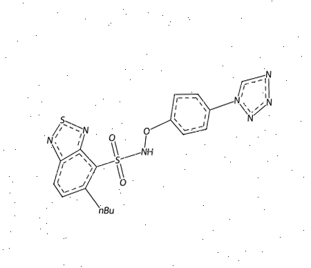 CCCCc1ccc2nsnc2c1S(=O)(=O)NOc1ccc(-n2cnnn2)cc1